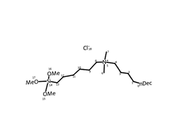 CCCCCCCCCCCCCC[N+](C)(C)CCCCCC[Si](OC)(OC)OC.[Cl-]